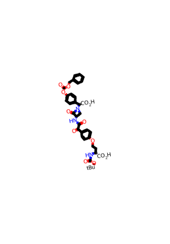 CC(C)(C)OC(=O)NC(CCOc1ccc(C(=O)C(=O)NC2CN(C(C(=O)O)c3ccc(OC(=O)OCc4ccccc4)cc3)C2=O)cc1)C(=O)O